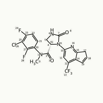 CN(C(=O)[C@@H]1CNC(=O)N1c1cc(C(F)(F)F)c2c(n1)CC=C2)c1ccc(F)c(Cl)c1F